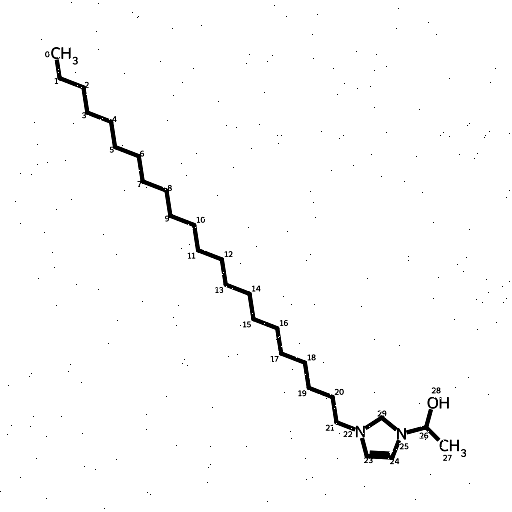 CCCCCCCCCCCCCCCCCCCCCCN1C=CN(C(C)O)C1